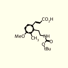 COc1ccc(C=CC(=O)O)c(CCNC(=O)OC(C)(C)C)c1C